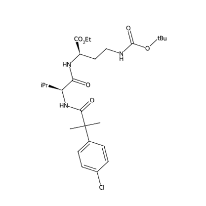 CCOC(=O)[C@@H](CCNC(=O)OC(C)(C)C)NC(=O)[C@@H](NC(=O)C(C)(C)c1ccc(Cl)cc1)C(C)C